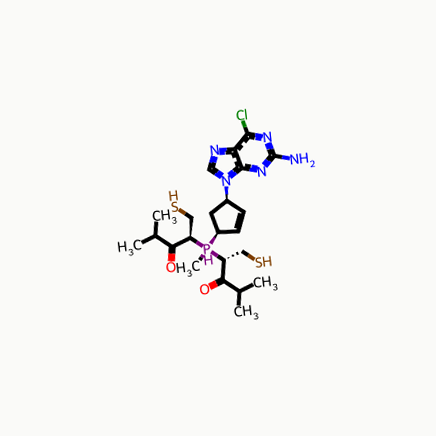 CC(C)C(=O)[C@@H](CS)[PH](C)([C@@H]1C=C[C@H](n2cnc3c(Cl)nc(N)nc32)C1)[C@H](CS)C(=O)C(C)C